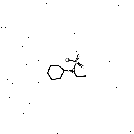 CCN(C1CCCCC1)S(=O)(=O)Cl